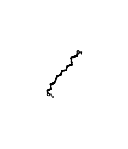 CCC/C=C/CCCCCCCCO